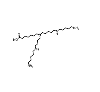 NCCCCCNCCCCCN(CCCCCCC(=O)O)CCCCNCCCCCN